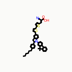 CCCCCCc1ccc(C2Cc3cc(-c4ccc(-c5ccc(/C=C(\C#N)C(=O)O)s5)s4)ccc3N2c2ccc3c(c2)C(C)(C)c2ccccc2-3)cc1